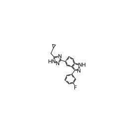 Fc1cccc(-c2n[nH]c3ccc(-c4n[nH]c(CC5CC5)n4)cc23)c1